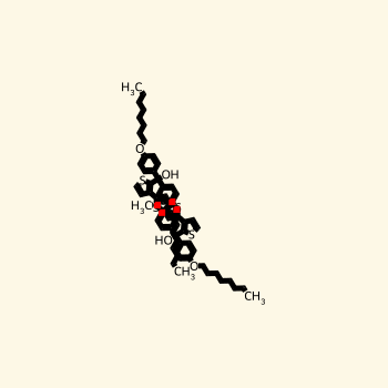 CCCCCCCCOc1ccc(C(O)(c2ccc(OC)cc2)c2sccc2-c2cc3sc(-c4ccsc4C(O)(c4ccc(OCCCCCCCC)cc4)c4ccc(OCCCCCCCC)cc4)cc3s2)cc1